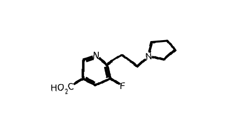 O=C(O)c1cnc(CCN2CCCC2)c(F)c1